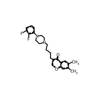 Cc1cc2occ(CCCCN3CCN(c4cccc(F)c4F)CC3)c(=O)c2cc1C